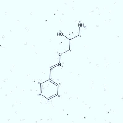 NCC(O)CON=Cc1ccccc1